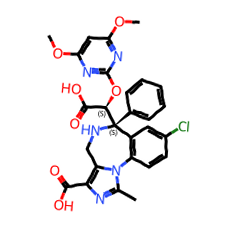 COc1cc(OC)nc(O[C@H](C(=O)O)[C@@]2(c3ccccc3)NCc3c(C(=O)O)nc(C)n3-c3ccc(Cl)cc32)n1